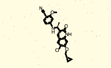 COc1cc(N[C@@H](C)c2cc3cc(Cl)c(OCC4CC4)cc3[nH]c2=O)ccc1C#N